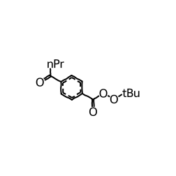 CCCC(=O)c1ccc(C(=O)OOC(C)(C)C)cc1